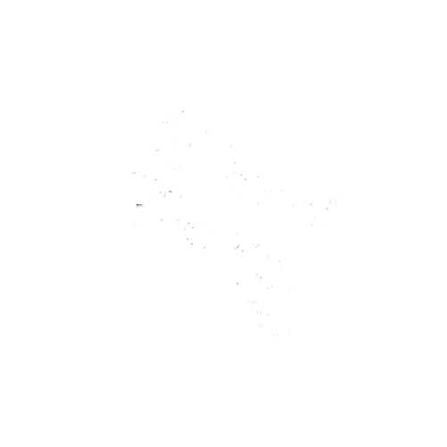 C[C@H]1CN(c2cc(S(=O)(=O)N(COCC[Si](C)(C)C)C3(C)CC3)cc3c2cnn3[C@@H]2C[C@@H](C(C)(C)O)N(C(=O)OCc3ccccc3)C2)C[C@H](C)N1C(=O)OC(C)(C)C